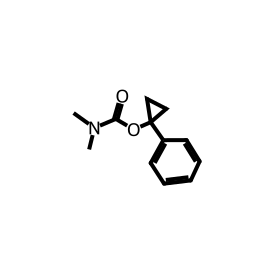 CN(C)C(=O)OC1(c2ccccc2)CC1